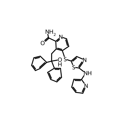 NC(=O)c1nccc(Sc2cnc(Nc3ccccn3)s2)c1CC(O)(c1ccccc1)c1ccccc1